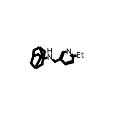 CCc1ccc(CNC23CC4CC(CC(C4)C2)C3)cn1